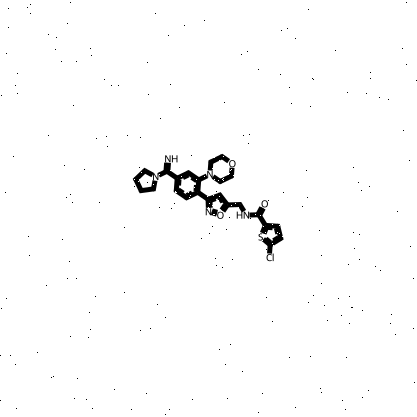 N=C(c1ccc(-c2cc(CNC(=O)c3ccc(Cl)s3)on2)c(N2CCOCC2)c1)N1CCCC1